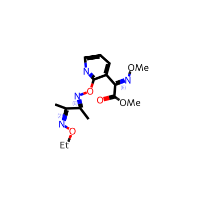 CCO/N=C(C)\C(C)=N\Oc1ncccc1/C(=N\OC)C(=O)OC